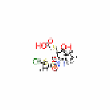 O=C(O)CSc1cc(NS(=O)(=O)c2ccc(Cl)s2)c2ccccc2c1O